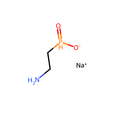 NCC[PH](=O)[O-].[Na+]